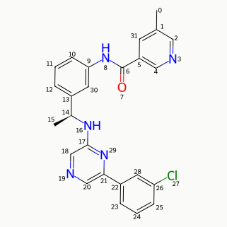 Cc1cncc(C(=O)Nc2cccc([C@H](C)Nc3cncc(-c4cccc(Cl)c4)n3)c2)c1